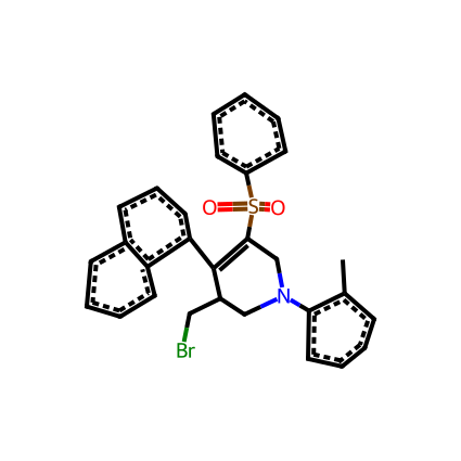 Cc1ccccc1N1CC(S(=O)(=O)c2ccccc2)=C(c2cccc3ccccc23)C(CBr)C1